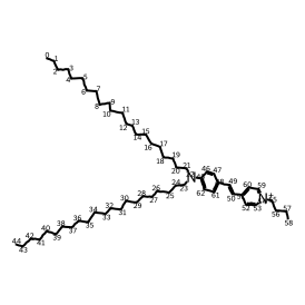 CCCCCCCCCCCCCCCCCCCCCCN(CCCCCCCCCCCCCCCCCCCCCC)c1ccc(/C=C/c2cc[n+](CCCC)cc2)cc1